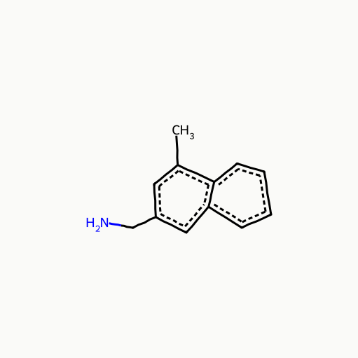 Cc1cc(CN)cc2ccccc12